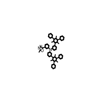 Cc1nnc(-c2cccc(N(c3cccc(-c4c(C)c(-c5ccccc5)c(C)c(-c5ccccc5)c4C)c3)c3cccc(-c4c(C)c(-c5ccccc5)c(C)c(-c5ccccc5)c4C)c3)c2)o1